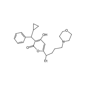 CCC(CCCN1CCOCC1)c1cc(O)c(C(c2ccccc2)C2CC2)c(=O)o1